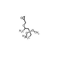 CC[Si](CC(C)OCC1CO1)(OC)OC